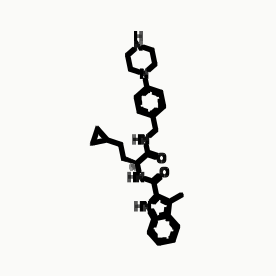 Cc1c(C(=O)N[C@@H](CCC2CC2)C(=O)NCc2ccc(N3CCNCC3)cc2)[nH]c2ccccc12